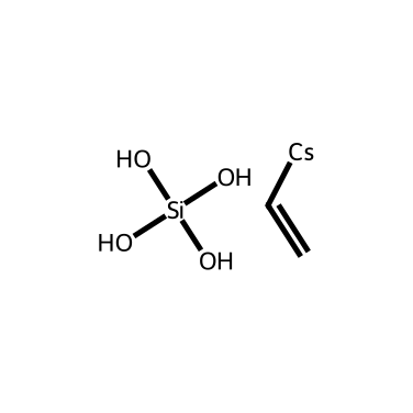 C=[CH][Cs].O[Si](O)(O)O